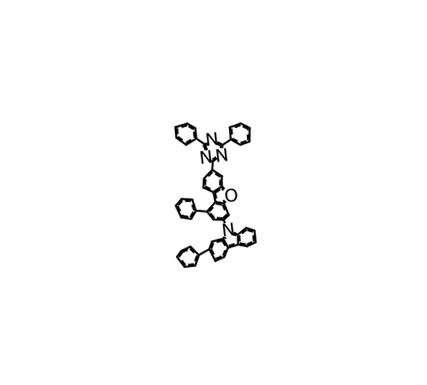 c1ccc(-c2ccc3c4ccccc4n(-c4cc(-c5ccccc5)c5c(c4)oc4cc(-c6nc(-c7ccccc7)nc(-c7ccccc7)n6)ccc45)c3c2)cc1